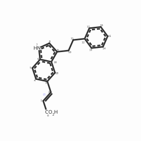 O=C(O)/C=C/c1ccc2[nH]cc(CCc3ccccc3)c2c1